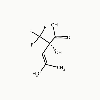 CC(C)=C[C@](O)(C(=O)O)C(F)(F)F